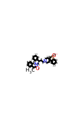 C[C@@H](C(=O)N(C)C[C@H](CCN1CCC2(CC1)C[S@+]([O-])c1ccccc12)c1ccccc1)c1ccccc1